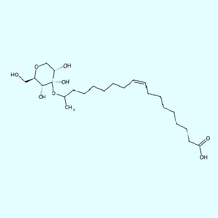 CC(CCCCCC/C=C\CCCCCCCC(=O)O)O[C@@]1(O)[C@H](O)[C@@H](CO)OC[C@@H]1O